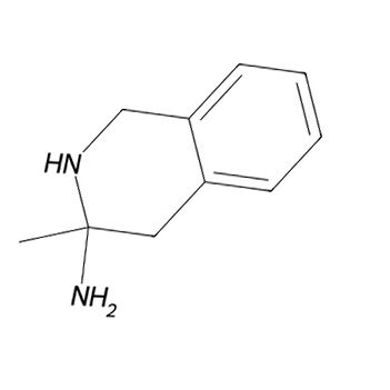 CC1(N)Cc2ccccc2CN1